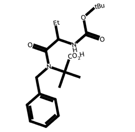 CCC(NC(=O)OC(C)(C)C)C(=O)N(Cc1ccccc1)C(C)(C)C(=O)O